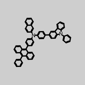 c1ccc(-c2c3ccccc3c(-c3ccc(N(c4ccc(-c5ccc6c(c5)c5ccccc5n6-c5ccccc5)cc4)c4ccc5ccccc5c4)cc3)c3ccccc23)cc1